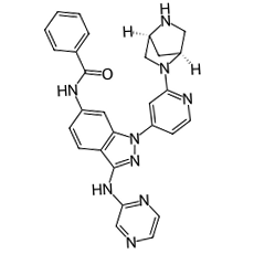 O=C(Nc1ccc2c(Nc3cnccn3)nn(-c3ccnc(N4C[C@@H]5C[C@H]4CN5)c3)c2c1)c1ccccc1